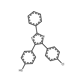 Sc1ccc(-c2sc(-c3ccccc3)nc2-c2ccc(Cl)cc2)cc1